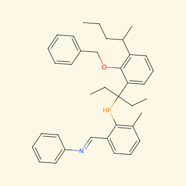 CCCC(C)c1cccc(C(CC)(CC)Pc2c(C)cccc2/C=N/c2ccccc2)c1OCc1ccccc1